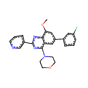 COc1cc(-c2cccc(F)c2)cc2c(N3CCOCC3)nc(-c3cccnc3)nc12